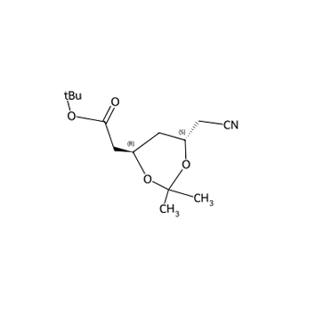 CC(C)(C)OC(=O)C[C@H]1C[C@H](CC#N)OC(C)(C)O1